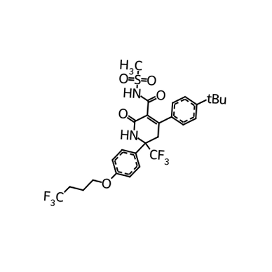 CC(C)(C)c1ccc(C2=C(C(=O)NS(C)(=O)=O)C(=O)NC(c3ccc(OCCCC(F)(F)F)cc3)(C(F)(F)F)C2)cc1